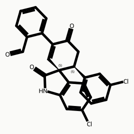 O=Cc1ccccc1C1=C[C@@]2(C(=O)Nc3cc(Cl)ccc32)[C@H](c2cccc(Cl)c2)CC1=O